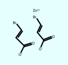 O=C([O-])/C=C/Br.O=C([O-])/C=C/Br.[Zn+2]